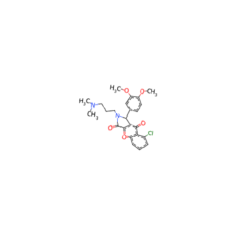 COc1ccc(C2c3c(oc4cccc(Cl)c4c3=O)C(=O)N2CCCN(C)C)cc1OC